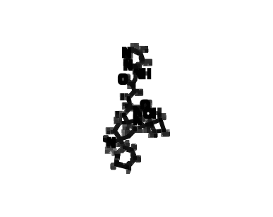 CN(C)C1(c2ccccc2)CCC2(CC1)C[C@@H](CCC(=O)Nc1cccnn1)[N+](=O)N2CC1(O)CCC1